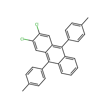 Cc1ccc(-c2c3ccccc3c(-c3ccc(C)cc3)c3cc(Cl)c(Cl)cc23)cc1